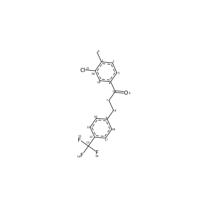 Cc1ccc(C(=O)CCc2ccc(C(F)(F)F)cc2)cc1Cl